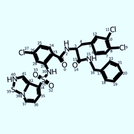 O=C(N[C@@H](Cc1ccc(Cl)c(Cl)c1)C(=O)NCc1ccccc1)c1ccc(Cl)cc1NS(=O)(=O)C1=CC=CN2SNC=C12